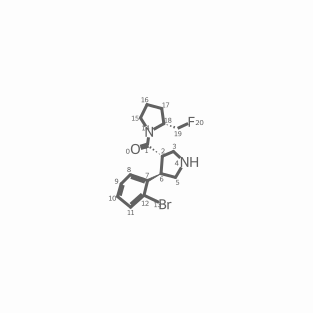 O=C([C@@H]1CNC[C@H]1c1ccccc1Br)N1CCC[C@@H]1CF